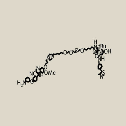 COc1cc2c(Nc3ccc(Oc4cccc(N)c4)cc3)c(C#N)cnc2cc1OCCCN1CCN(CCCCCCOCCOCCOCCOCCCCCC(=O)N[C@H](C(=O)N2C[C@H](O)C[C@H]2C(=O)NCc2ccc(-c3scnc3C)cc2)C(C)(C)C)CC1